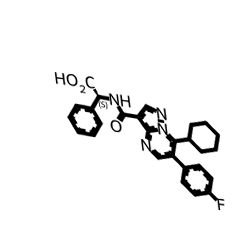 O=C(N[C@H](C(=O)O)c1ccccc1)c1cnn2c(C3CCCCC3)c(-c3ccc(F)cc3)cnc12